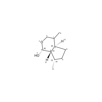 CC1CO[C@@H](O)[C@@H]2[C@@H]1CC[C@@H]2C